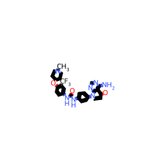 CN1CCC(Oc2ccc(NC(=O)Nc3ccc(-n4ccc(=O)c5c(N)ncnc54)cc3)cc2C(F)(F)F)CC1